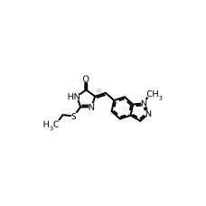 CCSC1=N/C(=C\c2ccc3cnn(C)c3c2)C(=O)N1